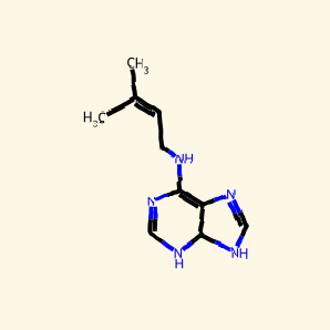 CC(C)=CCNC1=C2N=CNC2NC=N1